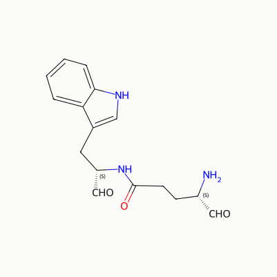 N[C@H](C=O)CCC(=O)N[C@H](C=O)Cc1c[nH]c2ccccc12